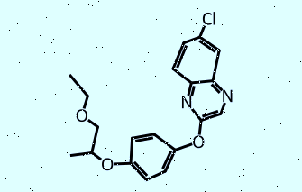 CCOCC(C)Oc1ccc(Oc2cnc3cc(Cl)ccc3n2)cc1